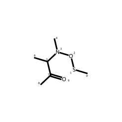 CSON(C)C(C)C(C)=O